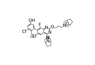 Oc1cc(Cl)c(C2CC2)c(-c2c(Cl)cc3c(N4CC5CCC(C4)N5)nc(OCCCN4CC5CCC(C4)O5)nc3c2F)c1